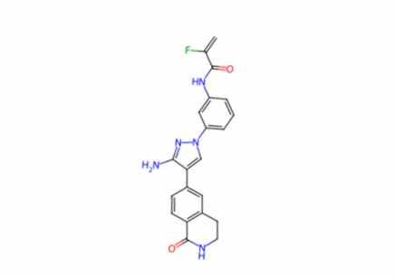 C=C(F)C(=O)Nc1cccc(-n2cc(-c3ccc4c(c3)CCNC4=O)c(N)n2)c1